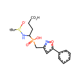 CC(C)(C)[S+]([O-])NC(CCC(=O)O)P(=O)(O)Cc1cc(-c2ccccc2)on1